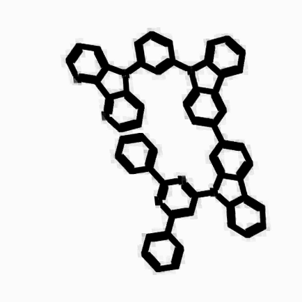 c1ccc(-c2cc(-n3c4ccccc4c4ccc(-c5ccc6c(c5)c5ccccc5n6-c5cccc(-n6c7cccnc7c7ncccc76)c5)cc43)nc(-c3ccccc3)n2)cc1